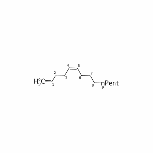 C=C/C=C/C=C\CCCCCCCC